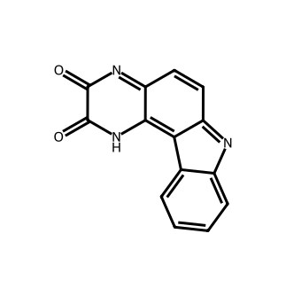 O=C1N=c2ccc3c(c2NC1=O)-c1ccccc1N=3